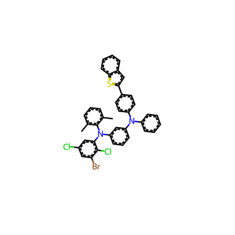 Cc1cccc(C)c1N(c1cccc(N(c2ccccc2)c2ccc(-c3cc4ccccc4s3)cc2)c1)c1cc(Cl)cc(Br)c1Cl